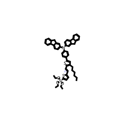 CCCCCCc1cc(-c2ccc(N(c3ccc4c(c3)Cc3ccccc3-4)c3ccc4c(c3)Cc3ccccc3-4)cc2)sc1/C=C/c1ccc([Si](OCC)(OCC)OCC)s1